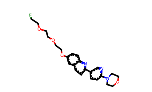 FCCOCCOCCOc1ccc2nc(-c3ccc(N4CCOCC4)nc3)ccc2c1